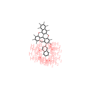 BBB(B)B(B(B)B)c1c(B(B(B)B)B(B)B)c(B(BB)B(B)B)c(B(B)B(B)B)c2c(B(B)BB)c(-c3c(C)c(C)c(C)c4c(-c5c(C)c(C)c6c(C)c(C)c(C)c(C)c6c5C)c5c(C)c(C)c(C)c(C)c5cc34)c(BB)c(B)c12